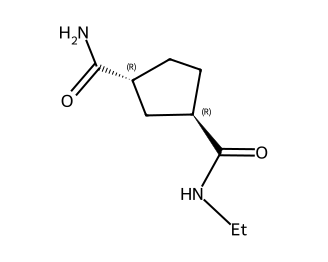 CCNC(=O)[C@@H]1CC[C@@H](C(N)=O)C1